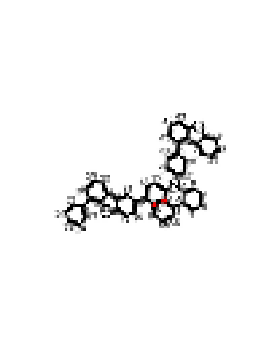 c1ccc(-c2ccccc2N(c2ccc(-c3ccc4oc5c(-c6ccccc6)cccc5c4c3)cc2)c2ccc(-c3cccc4oc5ccccc5c34)cc2)cc1